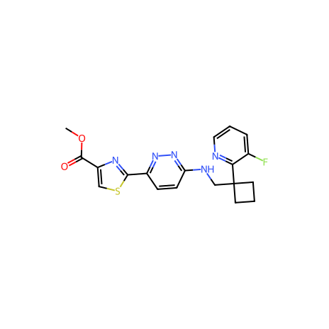 COC(=O)c1csc(-c2ccc(NCC3(c4ncccc4F)CCC3)nn2)n1